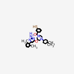 Cc1cccc(C)c1-c1cc(O[C@H]2CN(C(=O)c3cccc(S)c3)CCN(C3CCC(C)(C)CC3)C2)nc(N)n1